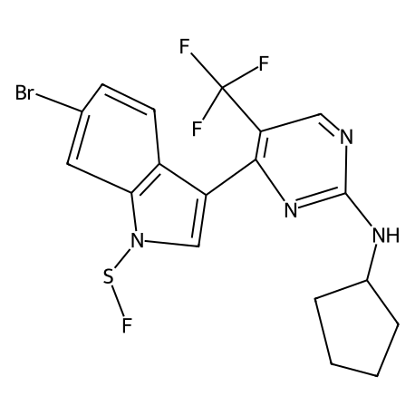 FSn1cc(-c2nc(NC3CCCC3)ncc2C(F)(F)F)c2ccc(Br)cc21